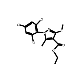 CCOC(=O)c1c(SC)nn(-c2c(Cl)cc(Cl)cc2Cl)c1C